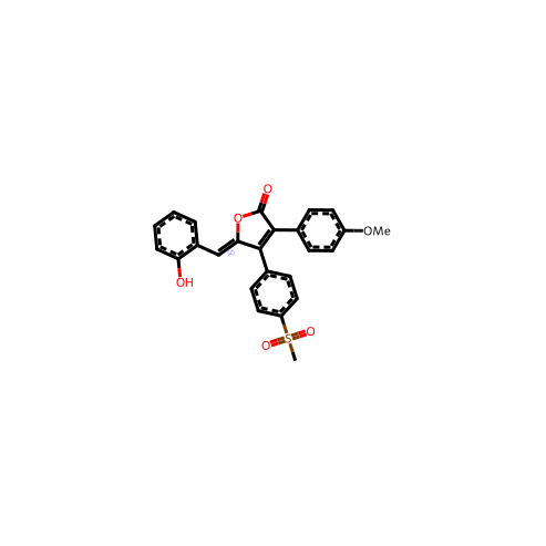 COc1ccc(C2=C(c3ccc(S(C)(=O)=O)cc3)/C(=C/c3ccccc3O)OC2=O)cc1